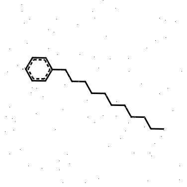 CCCCCCCCCCCc1cc[c]cc1